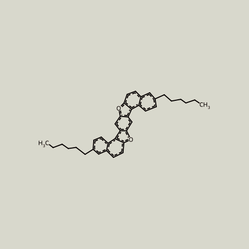 CCCCCCc1ccc2c(ccc3oc4cc5c(cc4c32)oc2ccc3cc(CCCCCC)ccc3c25)c1